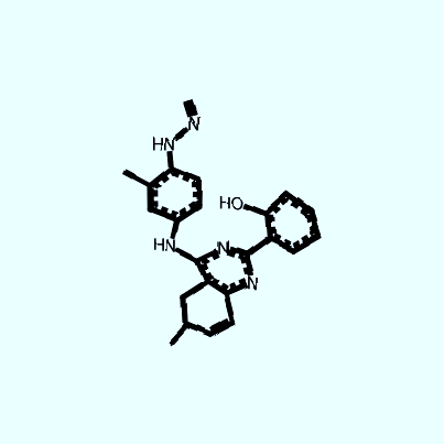 C=NNc1ccc(Nc2nc(-c3ccccc3O)nc3c2CC(C)C=C3)cc1C